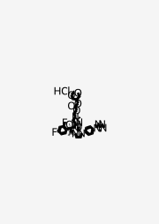 C[C@@H](N1CCN(c2ccc(-n3cnnn3)cc2)C1=O)[C@](O)(CN1CN(COC(=O)OC2COCOC2)C=N1)c1ccc(F)cc1F.Cl